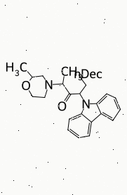 CCCCCCCCCCCC(C(=O)C(C)N1CCOC(C)C1)n1c2ccccc2c2ccccc21